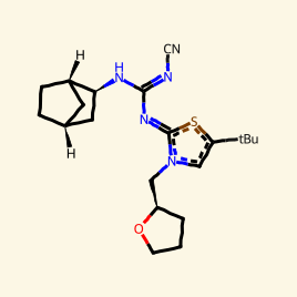 CC(C)(C)c1cn(C[C@H]2CCCO2)/c(=N/C(=N/C#N)N[C@H]2C[C@@H]3CC[C@H]2C3)s1